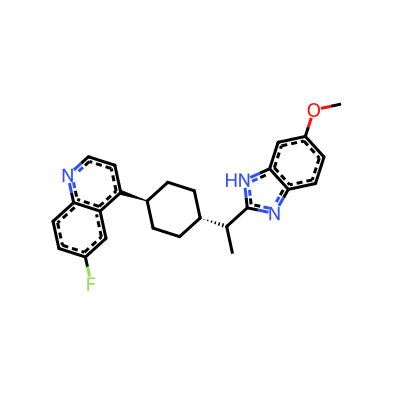 COc1ccc2nc(C(C)[C@H]3CC[C@H](c4ccnc5ccc(F)cc54)CC3)[nH]c2c1